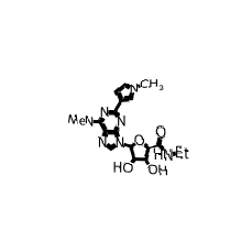 CCNC(=O)[C@@H]1OC(n2cnc3c(NC)nc(-c4ccn(C)c4)nc32)C(O)C1O